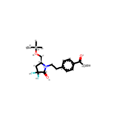 COC(=O)c1ccc(CCN2C(=O)C(F)(F)C[C@H]2CO[Si](C)(C)C(C)(C)C)cc1